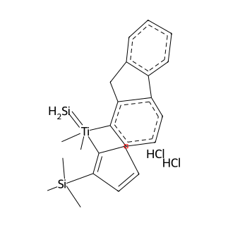 C[Si](C)(C)C1=[C]([Ti]([CH3])([CH3])(=[SiH2])[c]2cccc3c2Cc2ccccc2-3)CC=C1.Cl.Cl